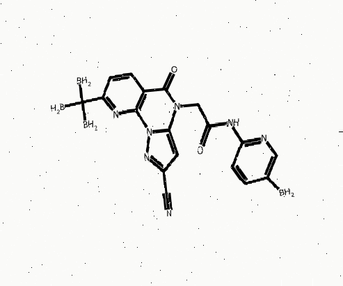 Bc1ccc(NC(=O)Cn2c(=O)c3ccc(C(B)(B)B)nc3n3nc(C#N)cc23)nc1